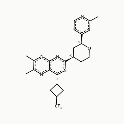 Cc1cc([C@@H]2C[C@H](c3nc4nc(C)c(C)nc4c([C@H]4C[C@H](C(F)(F)F)C4)n3)CCO2)ccn1